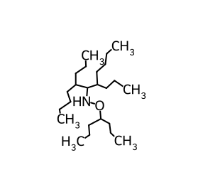 CCCCC(CCC)C(NOC(CCC)CCC)C(CCC)CCCC